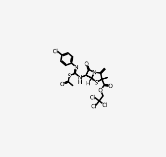 C=C1N2C(=O)C(NC(=Nc3ccc(Cl)cc3)SC(C)=O)[C@H]2SC1(C)C(=O)OCC(Cl)(Cl)Cl